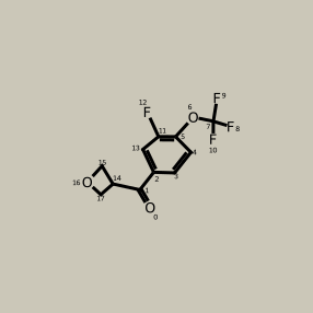 O=C(c1ccc(OC(F)(F)F)c(F)c1)C1COC1